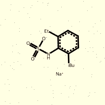 CCc1cccc(C(C)CC)c1NS(=O)(=O)[O-].[Na+]